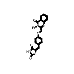 CCn1c(COc2ccc(C=C3SC(=O)NC3=O)cc2)nc2ccccc2c1=O